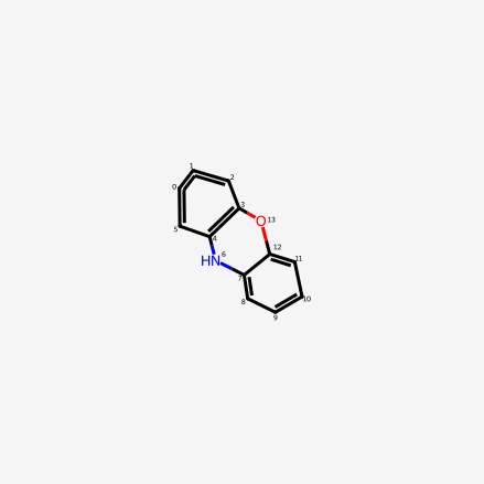 C1=C=CC2=C(C=1)Nc1ccccc1O2